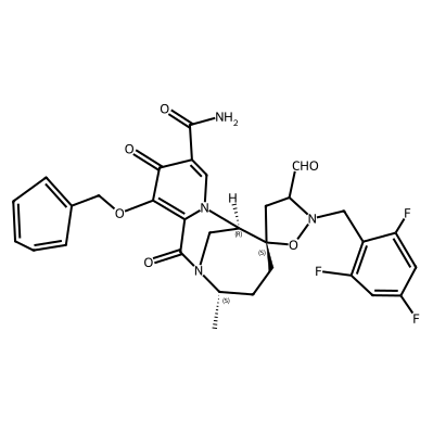 C[C@H]1CC[C@]2(CC(C=O)N(Cc3c(F)cc(F)cc3F)O2)[C@H]2CN1C(=O)c1c(OCc3ccccc3)c(=O)c(C(N)=O)cn12